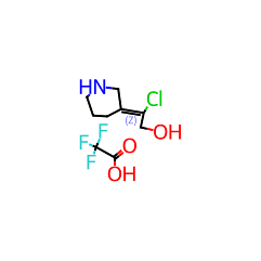 O=C(O)C(F)(F)F.OC/C(Cl)=C1\CCCNC1